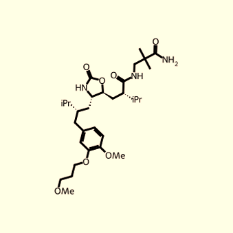 COCCCOc1cc(C[C@@H](C[C@@H]2NC(=O)O[C@H]2C[C@H](C(=O)NCC(C)(C)C(N)=O)C(C)C)C(C)C)ccc1OC